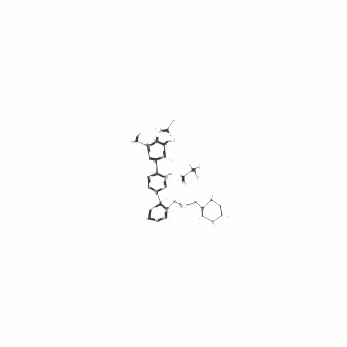 Cc1nc2c(C(=O)O)cc(-c3ccc(-c4ccccc4CNCC4CCCCC4)cc3OC(=O)C(F)(F)F)cc2[nH]1